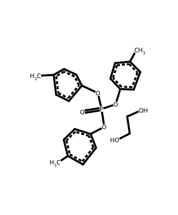 Cc1ccc(OP(=O)(Oc2ccc(C)cc2)Oc2ccc(C)cc2)cc1.OCCO